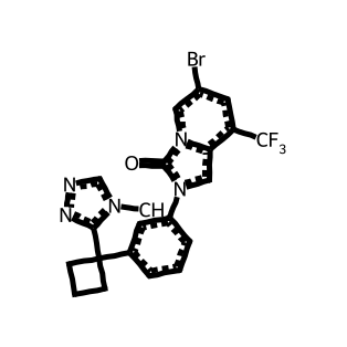 Cn1cnnc1C1(c2cccc(-n3cc4c(C(F)(F)F)cc(Br)cn4c3=O)c2)CCC1